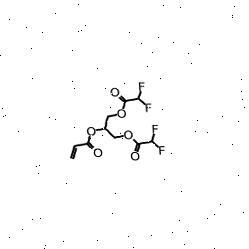 C=CC(=O)OC(COC(=O)C(F)F)COC(=O)C(F)F